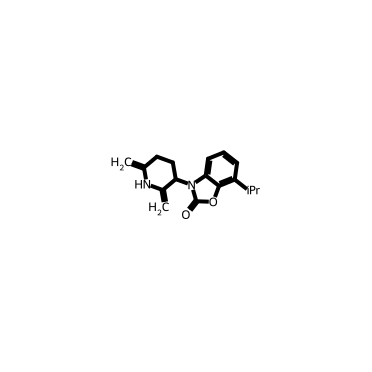 C=C1CCC(n2c(=O)oc3c(C(C)C)cccc32)C(=C)N1